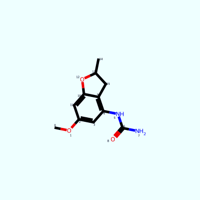 COc1cc(NC(N)=O)c2c(c1)OC(C)C2